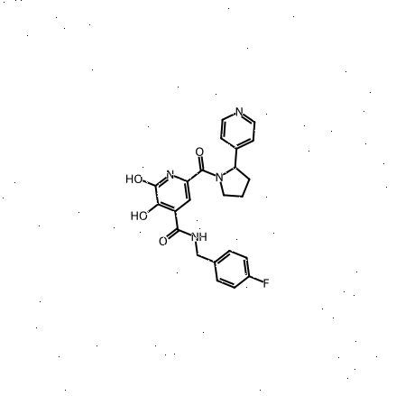 O=C(NCc1ccc(F)cc1)c1cc(C(=O)N2CCCC2c2ccncc2)nc(O)c1O